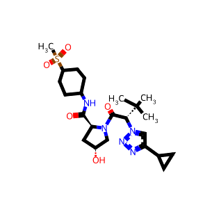 CC(C)(C)[C@@H](C(=O)N1C[C@H](O)C[C@H]1C(=O)NC1CCC(S(C)(=O)=O)CC1)n1cc(C2CC2)nn1